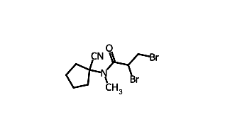 CN(C(=O)C(Br)CBr)C1(C#N)CCCC1